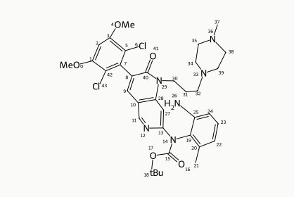 COc1cc(OC)c(Cl)c(-c2cc3cnc(N(C(=O)OC(C)(C)C)c4c(C)cccc4N)cc3n(CCCN3CCN(C)CC3)c2=O)c1Cl